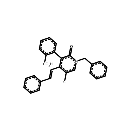 O=C(O)c1ccccc1-c1c(C=Cc2ccccc2)c(Cl)cn(Cc2ccccc2)c1=O